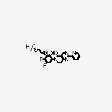 COCCOc1cc(N2CCc3nc(-c4ccccn4)ncc3C2OC)cc(F)c1F